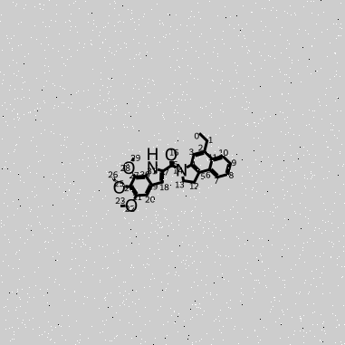 CCc1cc2c(c3ccccc13)CCN2C(=O)c1cc2cc(OC)c(OC)c(OC)c2[nH]1